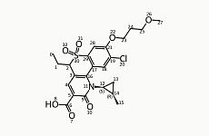 CCC1c2cc(C(=O)O)c(=O)n([C@H]3C[C@H]3C)c2-c2cc(Cl)c(OCCCOC)cc2S1(=O)=O